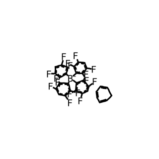 C1=CC=CCC=C1.Fc1cc(F)c(F)c([B-](c2c(F)c(F)cc(F)c2F)(c2c(F)c(F)cc(F)c2F)c2c(F)c(F)cc(F)c2F)c1F